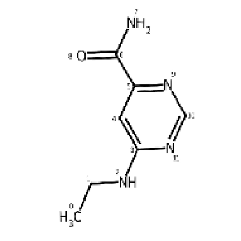 CCNc1cc(C(N)=O)ncn1